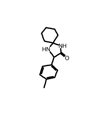 Cc1ccc(C2NC3(CCCCC3)NC2=O)cc1